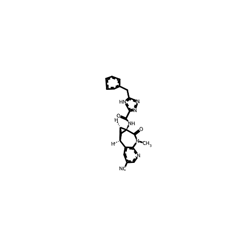 CN1C(=O)[C@]2(NC(=O)c3nnc(Cc4ccccc4)[nH]3)C3[C@@H](c4cc(C#N)cnc41)[C@H]32